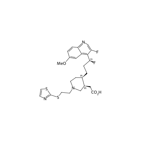 COc1ccc2ncc(F)c([C@@H](F)CC[C@@H]3CCN(CCSc4nccs4)C[C@@H]3CC(=O)O)c2c1